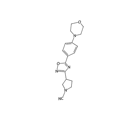 N#CN1CCC(c2noc(-c3ccc(N4CCOCC4)cc3)n2)C1